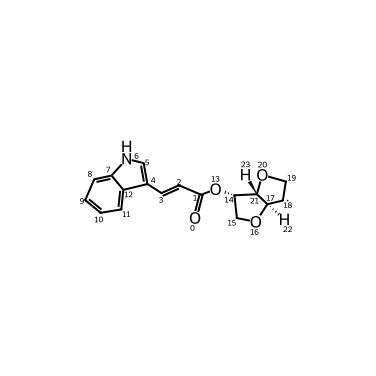 O=C(/C=C/c1c[nH]c2ccccc12)O[C@H]1CO[C@@H]2[CH]CO[C@@H]12